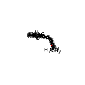 Cc1cc(-c2ccc(CN3CCC(N4CCN(C(=O)OC(C)(C)C)CC4)CC3)cc2)ccc1-n1cc(C(=O)NCc2nc(C(C)(C)C(F)(F)F)n[nH]2)cn1